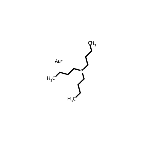 CCCCP(CCCC)CCCC.[Au+]